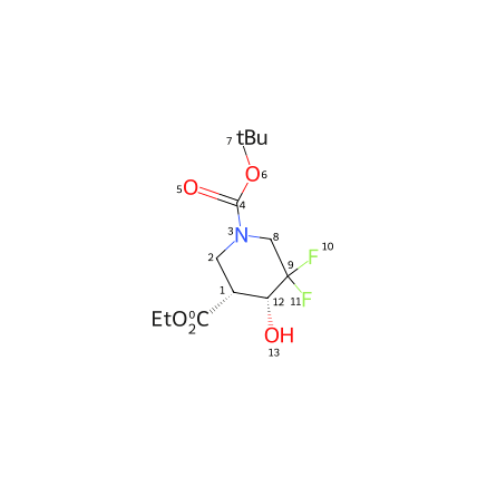 CCOC(=O)[C@@H]1CN(C(=O)OC(C)(C)C)CC(F)(F)[C@@H]1O